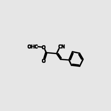 N#C/C(=C\c1ccccc1)C(=O)OC=O